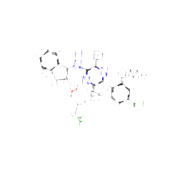 CCc1nc(-c2ccc(Cl)cc2OC)c(CC)nc1N[C@@H]1c2ccccc2C[C@@H]1OCCCF